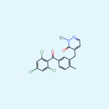 CCn1nccc(Cc2cc(C(=O)c3c(Cl)cc(Cl)cc3Cl)ccc2C)c1=O